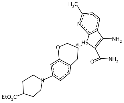 CCOC(=O)C1CCN(c2ccc3c(c2)OC[C@H]([SH]2C(C(N)=O)=C(N)c4ccc(C)nc42)C3)CC1